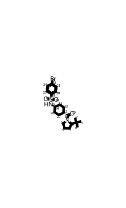 CC(C)(C)C1CCCN1C(=O)[C@H]1CC[C@H](NS(=O)(=O)c2ccc(Br)cc2)CC1